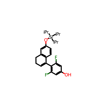 CC(C)[Si](Oc1ccc2c(c1)CCC=C2c1c(F)cc(O)cc1F)(C(C)C)C(C)C